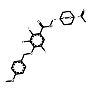 COc1ccc(COc2c(F)cc(C(=O)NC[C@]34CC[C@](C(C)=O)(CC3)CC4)c(F)c2F)cc1